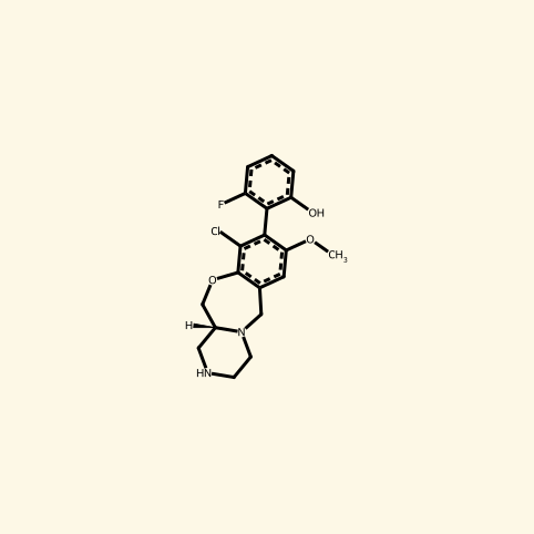 COc1cc2c(c(Cl)c1-c1c(O)cccc1F)OC[C@H]1CNCCN1C2